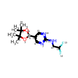 CC1(C)OB(c2cnc(NCC(F)F)nc2)OC1(C)C